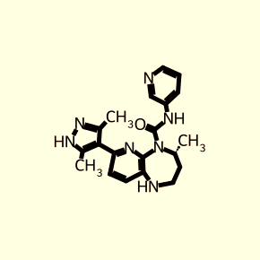 Cc1n[nH]c(C)c1-c1ccc2c(n1)N(C(=O)Nc1cccnc1)[C@H](C)CCN2